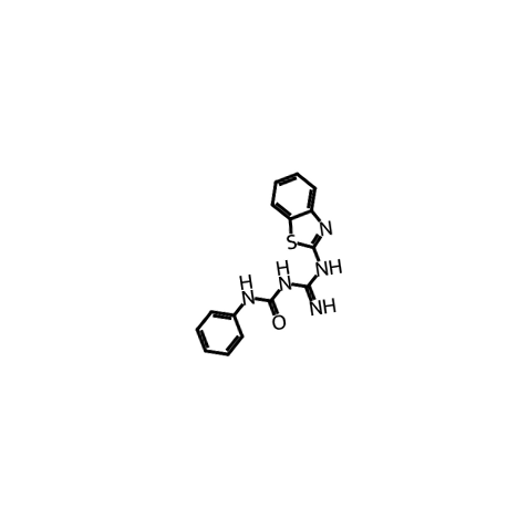 N=C(NC(=O)Nc1ccccc1)Nc1nc2ccccc2s1